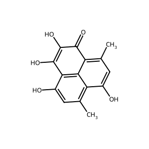 Cc1cc(O)c2c(C)cc(O)c3c2c1C(=O)C(O)=C3O